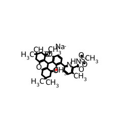 COc1ccc(-c2ccc(C)c(C(=O)NS(C)(=O)=O)n2)c(C)c1C1C2=C(CC(C)(C)CC2=O)OC2=C1C(=O)CC(C)(C)C2.[Na]